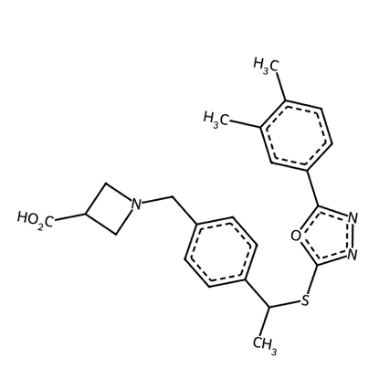 Cc1ccc(-c2nnc(SC(C)c3ccc(CN4CC(C(=O)O)C4)cc3)o2)cc1C